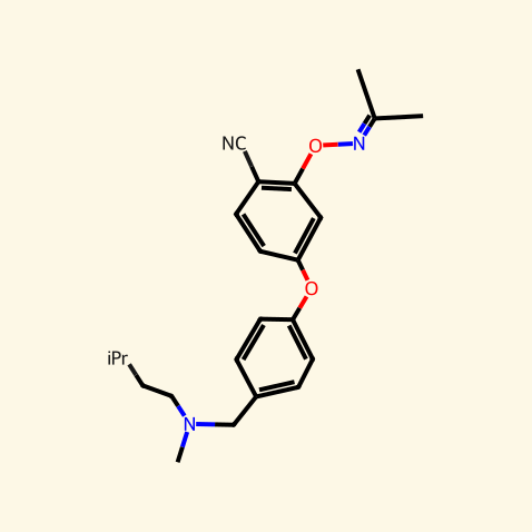 CC(C)=NOc1cc(Oc2ccc(CN(C)CCC(C)C)cc2)ccc1C#N